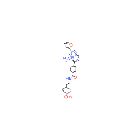 N[N+]12C=C(c3ccc(C(=O)NCCc4ccc(O)cc4)cc3)N=CC1=NC(c1ccco1)=N2